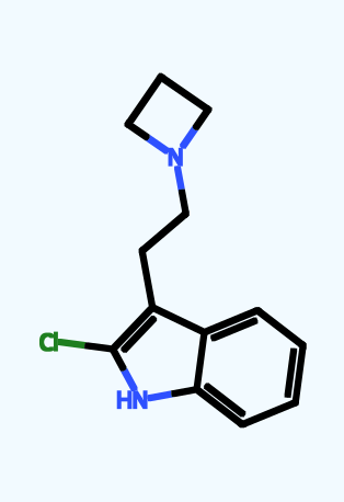 Clc1[nH]c2ccccc2c1CCN1CCC1